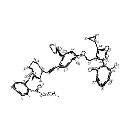 COC(=O)c1ccccc1N1CCC(C#Cc2ccc(OCc3c(-c4c(Cl)cccc4Cl)noc3C3CC3)cc2Cl)C1